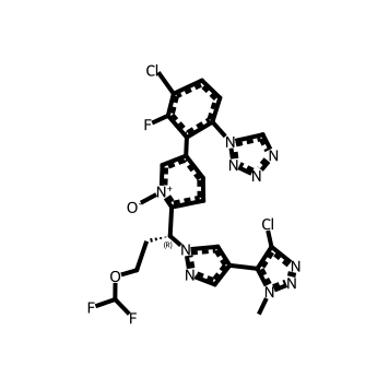 Cn1nnc(Cl)c1-c1cnn([C@H](CCOC(F)F)c2ccc(-c3c(-n4cnnn4)ccc(Cl)c3F)c[n+]2[O-])c1